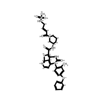 Cc1cc(Oc2ccccc2)ccc1N1C(=O)Nc2c(C(=O)N[C@@H]3CCCN(C(=O)/C=C/CNS(C)(=O)=O)C3)sc3nccc1c23